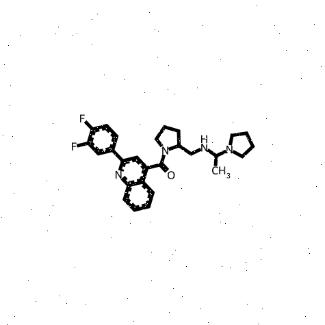 CC(NCC1CCCN1C(=O)c1cc(-c2ccc(F)c(F)c2)nc2ccccc12)N1CCCC1